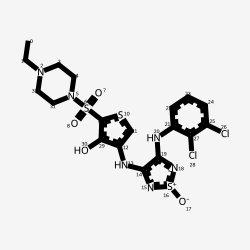 CCN1CCN(S(=O)(=O)c2scc(Nc3n[s+]([O-])nc3Nc3cccc(Cl)c3Cl)c2O)CC1